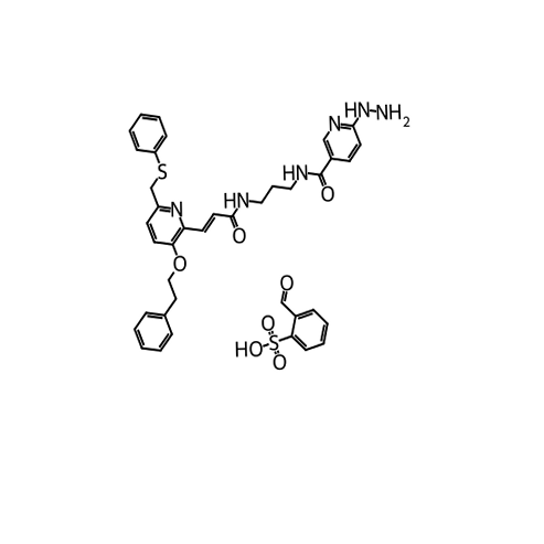 NNc1ccc(C(=O)NCCCNC(=O)C=Cc2nc(CSc3ccccc3)ccc2OCCc2ccccc2)cn1.O=Cc1ccccc1S(=O)(=O)O